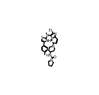 CCc1nc2n(c1N(C)c1nc(-c3ccc(C)cc3)cs1)PC(N1CCC(NC(=O)N3CCCC3)CC1)C=C2